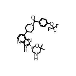 CC1(C)CNC[C@H](c2nc3c(C4CCN(C(=O)c5ccc(OC(F)(F)F)cc5)CC4)ccnc3[nH]2)O1